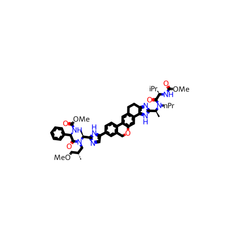 CCCN(C(=O)[C@@H](NC(=O)OC)C(C)C)[C@@H](C)c1nc2c([nH]1)-c1cc3c(cc1CC2)-c1ccc(-c2cnc([C@H](C)N(C[C@H](C)COC)C(=O)[C@H](NC(=O)OC)c4ccccc4)[nH]2)cc1CO3